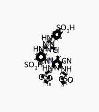 C=CS(=O)(=O)CCNc1nc(NCCS(=O)(=O)C=C)c(/N=N/c2cc(Nc3nc(Cl)nc(Nc4cccc(S(=O)(=O)O)c4)n3)ccc2S(=O)(=O)O)c(C)c1C#N